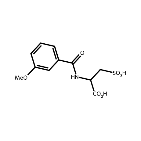 COc1cccc(C(=O)NC(CS(=O)(=O)O)C(=O)O)c1